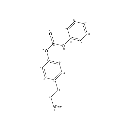 CCCCCCCCCCCCc1ccc(OC(=O)Oc2ccccc2)cc1